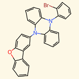 Brc1ccccc1N1c2ccccc2N(c2ccc3oc4ccccc4c3c2)c2ccccc21